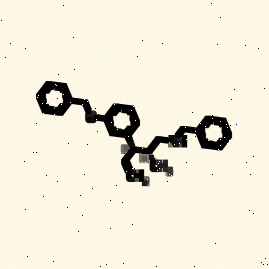 C=C[C@@H](c1cccc(OCc2ccccc2)c1)[C@@H](C)CNCc1ccccc1